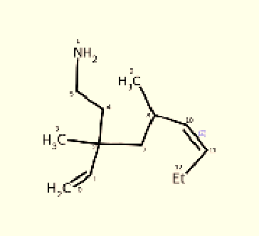 C=CC(C)(CCN)CC(C)/C=C\CC